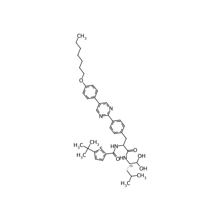 CCCCCCCOc1ccc(-c2cnc(-c3ccc(CC(NC(=O)c4ccc(C(C)(C)C)s4)C(=O)N[C@@H](CC(C)C)C(O)O)cc3)nc2)cc1